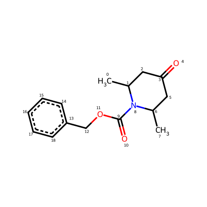 CC1CC(=O)CC(C)N1C(=O)OCc1ccccc1